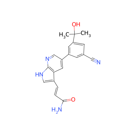 CC(C)(O)c1cc(C#N)cc(-c2cnc3[nH]cc(/C=C/C(N)=O)c3c2)c1